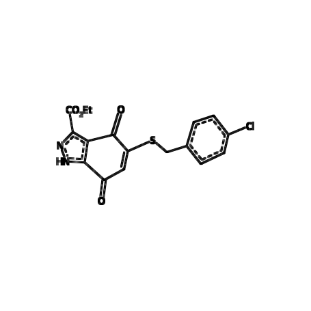 CCOC(=O)c1n[nH]c2c1C(=O)C(SCc1ccc(Cl)cc1)=CC2=O